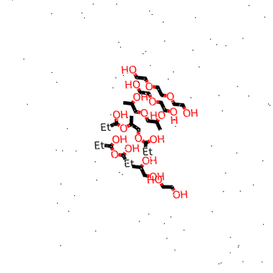 CC(O)CO.CC(O)COCC(C)O.CCC(O)OC(O)CC.CCC(O)OCC(C)OC(O)CC.OCCO.OCCOCCO.OCCOCCOCCO